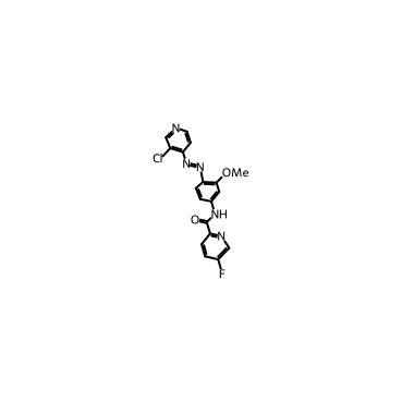 COc1cc(NC(=O)c2ccc(F)cn2)ccc1/N=N/c1ccncc1Cl